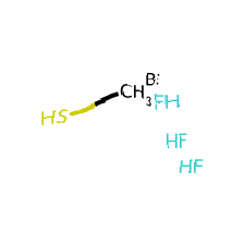 CS.F.F.F.[B]